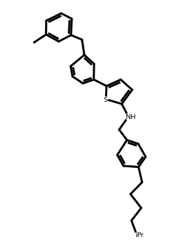 Cc1cccc(Cc2cccc(-c3ccc(NCc4ccc(CCCCC(C)C)cc4)s3)c2)c1